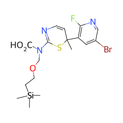 CC1(c2cc(Br)cnc2F)C=CN=C(N(COCC[Si](C)(C)C)C(=O)O)S1